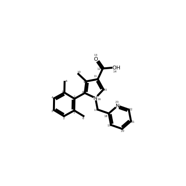 Cc1cccc(C)c1-c1c(C)c(C(=O)O)cn1Cc1ccccn1